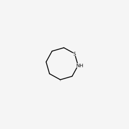 [CH]1CCCCSNC1